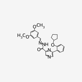 COc1cc(/C=N/NC(=O)c2cncc(-c3ccccc3OC3CCCC3)n2)cc(OC)c1